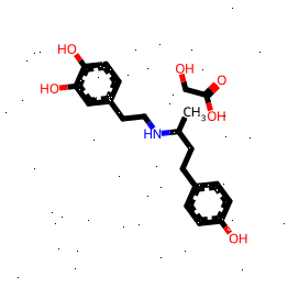 CC(CCc1ccc(O)cc1)NCCc1ccc(O)c(O)c1.O=C(O)CO